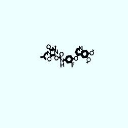 COc1cc2nccc(Oc3ccc(NC(=O)Oc4nn(C)c(=O)n(CC(C)C)c4=O)cc3F)c2cc1OC